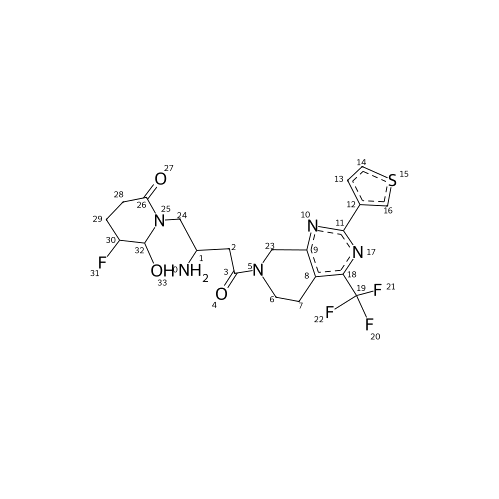 NC(CC(=O)N1CCc2c(nc(-c3ccsc3)nc2C(F)(F)F)C1)CN1C(=O)CCC(F)C1O